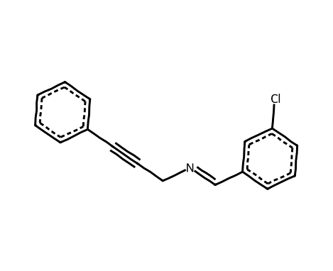 Clc1cccc(/C=N/CC#Cc2ccccc2)c1